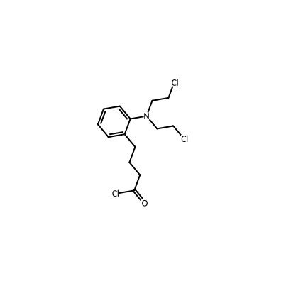 O=C(Cl)CCCc1ccccc1N(CCCl)CCCl